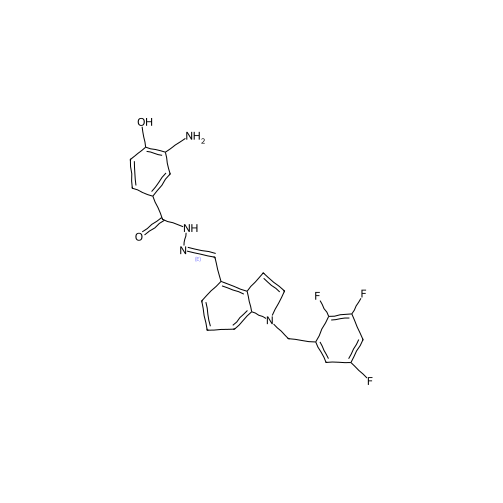 Nc1cc(C(=O)N/N=C/c2cccc3c2ccn3Cc2cc(F)cc(F)c2F)ccc1O